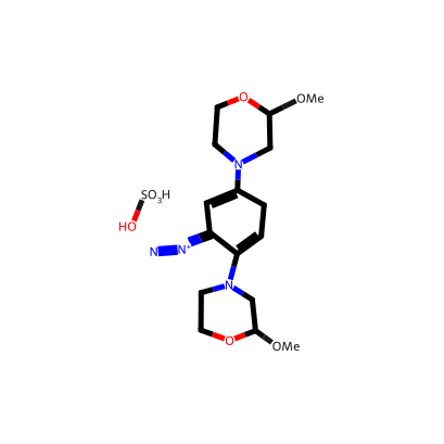 COC1CN(C2=CC(=[N+]=[N-])C(N3CCOC(OC)C3)=CC2)CCO1.O=S(=O)(O)O